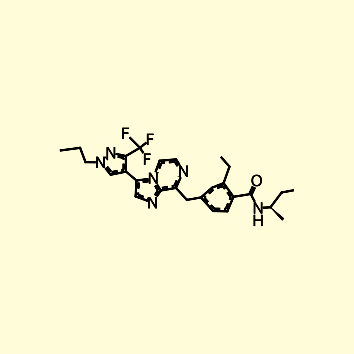 CCCn1cc(-c2cnc3c(Cc4ccc(C(=O)N[C@H](C)CC)c(CC)c4)nccn23)c(C(F)(F)F)n1